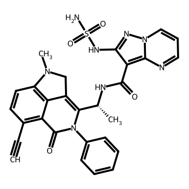 C#Cc1ccc2c3c(c([C@@H](C)NC(=O)c4c(NS(N)(=O)=O)nn5cccnc45)n(-c4ccccc4)c(=O)c13)CN2C